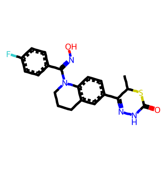 CC1SC(=O)NN=C1c1ccc2c(c1)CCCN2C(=NO)c1ccc(F)cc1